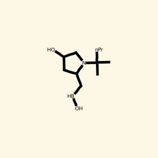 CCCC(C)(C)N1CC(O)CC1CBO